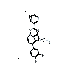 CN1c2nc(-c3cccnc3)nc3ccc(-c4ccc(F)c(F)c4)c1c23